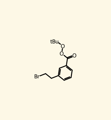 CC(C)(C)OOC(=O)c1cccc(CCBr)c1